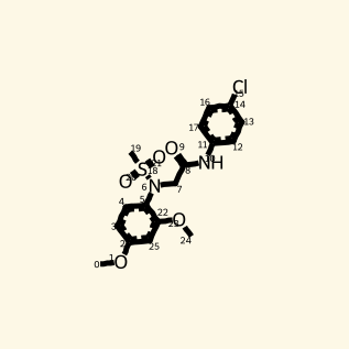 COc1ccc(N(CC(=O)Nc2ccc(Cl)cc2)S(C)(=O)=O)c(OC)c1